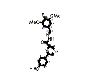 CCOc1ccc(-c2cncc(C(=O)N/N=C/c3cc(OC)c(F)c(OC)c3)n2)cc1